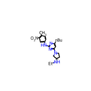 CCCCc1cc(N2CC[C@H](NCC)C2)nc(Nc2ccc(C)c([N+](=O)[O-])c2)n1